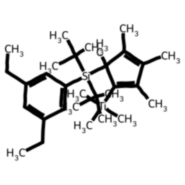 CCc1cc(CC)cc([Si](C(C)(C)C)(C(C)(C)C)C2(C)C(C)=C(C)C(C)=[C]2[Ti]([CH3])([CH3])[CH3])c1